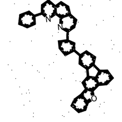 c1ccc(-c2ccc3ccc4ccc(-c5cccc(-c6ccc7c(c6)-c6cc8c9ccccc9oc8c8cccc-7c68)c5)nc4c3n2)cc1